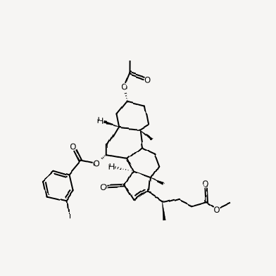 COC(=O)CC[C@@H](C)C1=CC(=O)[C@H]2C3C(CC[C@]12C)[C@@]1(C)CC[C@@H](OC(C)=O)C[C@H]1C[C@H]3OC(=O)c1cccc(I)c1